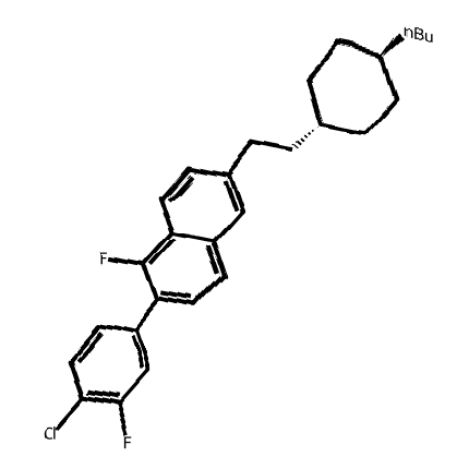 CCCC[C@H]1CC[C@H](CCc2ccc3c(F)c(-c4ccc(Cl)c(F)c4)ccc3c2)CC1